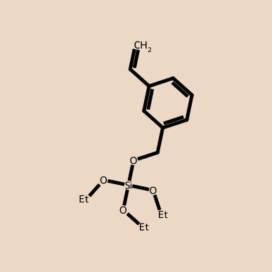 C=Cc1cccc(CO[Si](OCC)(OCC)OCC)c1